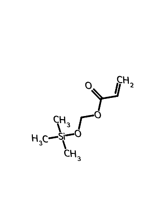 C=CC(=O)OCO[Si](C)(C)C